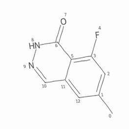 Cc1cc(F)c2c(=O)[nH]ncc2c1